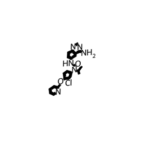 CC1COC(Nc2ccc3ncnc(N)c3c2)N1c1ccc(OCc2ccccn2)c(Cl)c1